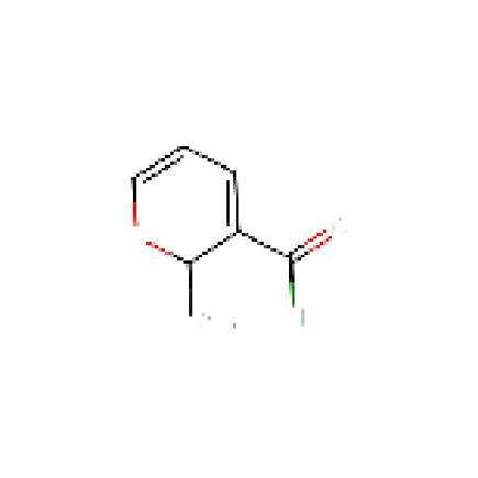 CCCCCC1OC=CC=C1C(=O)Cl